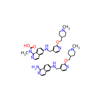 CN1CCC(COc2cc(CNc3ccc4c(N(C)C(=O)O)nccc4c3)ccn2)CC1.CN1CCC(COc2cc(CNc3ccc4c(N)nccc4c3)ccn2)CC1